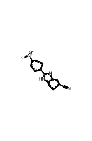 N#Cc1ccc2[nH]c(-c3ccc([N+](=O)[O-])cc3)nc2c1